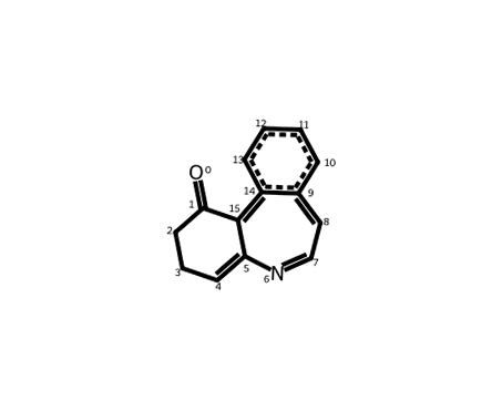 O=C1CCC=C2N=CC=c3ccccc3=C12